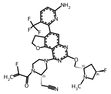 C=C(F)C(=O)N1CCN(c2nc(OC[C@@H]3C[C@@H](F)CN3C)nc3cc(-c4nc(N)ccc4C(F)(F)F)c4c(c23)OCC4)C[C@@H]1CC#N